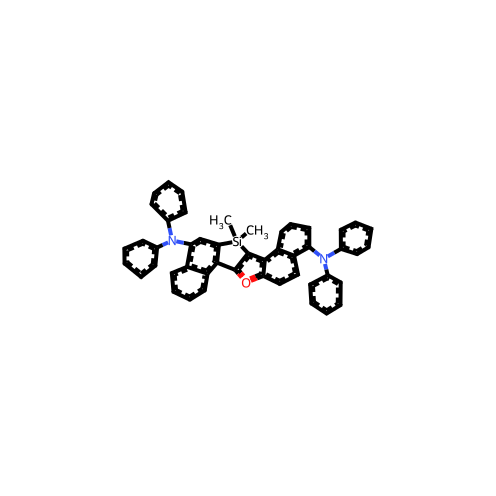 C[Si]1(C)c2cc(N(c3ccccc3)c3ccccc3)c3ccccc3c2-c2oc3ccc4c(N(c5ccccc5)c5ccccc5)cccc4c3c21